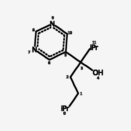 CC(C)CCC(O)(c1cncnc1)C(C)C